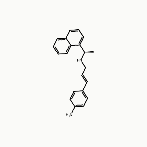 C[C@@H](NC/C=C/c1ccc(N)cc1)c1cccc2ccccc12